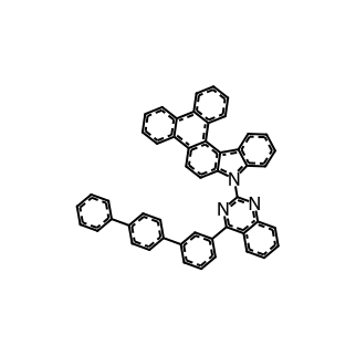 c1ccc(-c2ccc(-c3cccc(-c4nc(-n5c6ccccc6c6c7c8ccccc8c8ccccc8c7ccc65)nc5ccccc45)c3)cc2)cc1